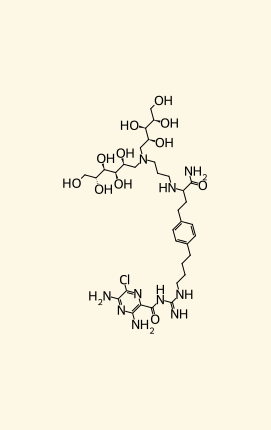 N=C(NCCCCc1ccc(CCC(NCCCN(C[C@H](O)[C@@H](O)[C@H](O)[C@H](O)CO)C[C@H](O)[C@@H](O)[C@H](O)CO)C(N)=O)cc1)NC(=O)c1nc(Cl)c(N)nc1N